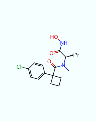 CC(C)[C@H](C(=O)NO)N(C)C(=O)C1(c2ccc(Cl)cc2)CCC1